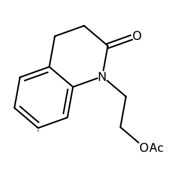 CC(=O)OCCN1C(=O)CCc2cc[c]cc21